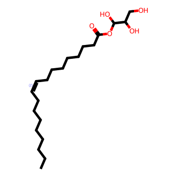 CCCCCCCC/C=C\CCCCCCCC(=O)OC(O)C(O)CO